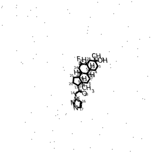 C[C@@]1(O)CC[C@@H]2[C@H]3CC[C@]4(C)[C@@H](C(=O)Cn5ccnn5)CC[C@H]4[C@@H]3C[C@@H](F)[C@@H]2C1